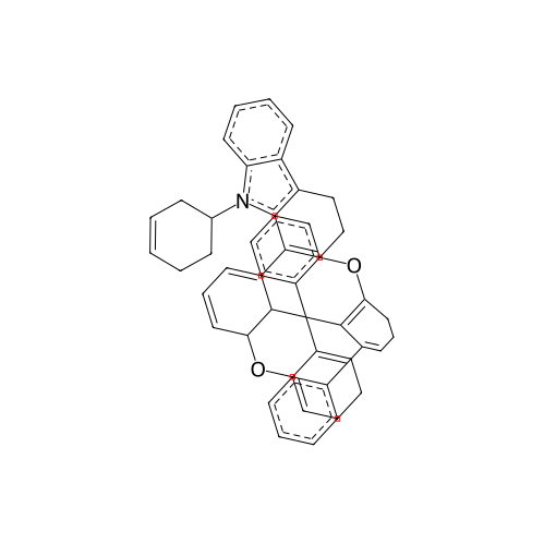 C1=CC2OC3=CCCC=C3C3(C4=C(CCC=C4c4ccccc4)Oc4ccccc43)C2C(C2=CCCc3c2n(C2CC=CCC2)c2ccccc32)=C1